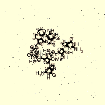 CO[C@@H]1[C@H](PP(=O)(O)OC[C@H]2O[C@@H](n3cnc4c(=O)[nH]c(N)nc43)[C@H](O)[C@@H]2O)C(COP(=O)(O)OP(=O)(O)OP(=O)(O)OC[C@H]2O[C@@H](n3c[n+](C)c4c(=O)[nH]c(N)nc43)[C@H](O)[C@@H]2CCN2CCOCC2)O[C@H]1n1cnc2c(=O)[nH]c(N)nc21